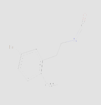 COc1ccc(Br)cc1CCN=C=O